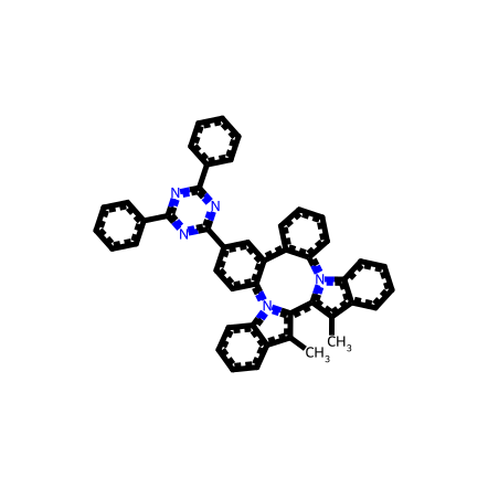 Cc1c2ccccc2n2c3ccccc3c3cc(-c4nc(-c5ccccc5)nc(-c5ccccc5)n4)ccc3n3c4ccccc4c(C)c3c12